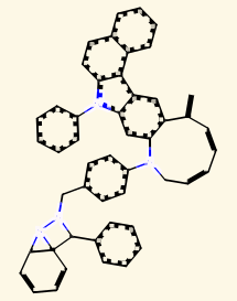 C=C1/C=C\C=C/CN(c2ccc(CN3C(c4ccccc4)C45C=CC=CC4N35)cc2)c2cc3c(cc21)c1c2ccccc2ccc1n3-c1ccccc1